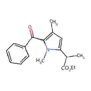 CCOC(=O)C(C)c1cc(C)c(C(=O)c2ccccc2)n1C